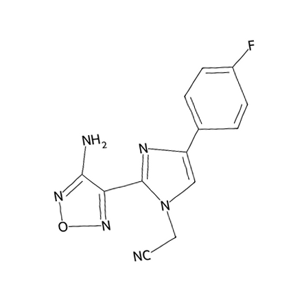 N#CCn1cc(-c2ccc(F)cc2)nc1-c1nonc1N